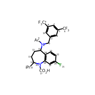 CC(=O)N(Cc1cc(C(F)(F)F)cc(C(F)(F)F)c1)C1CCC(C(C)C)N(C(=O)O)c2cc(F)ccc21